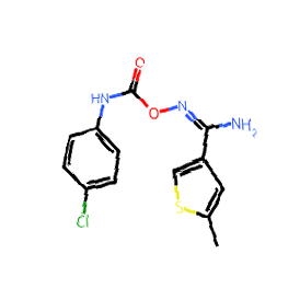 Cc1cc(/C(N)=N\OC(=O)Nc2ccc(Cl)cc2)cs1